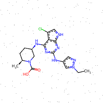 CCn1cc(Nc2nc(N[C@@H]3CC[C@H](C)N(C(=O)O)C3)c3c(Cl)c[nH]c3n2)cn1